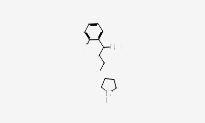 NC(CCC[C@@H]1CCNC1)c1ccccc1F